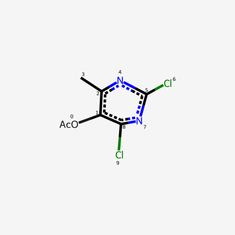 CC(=O)Oc1c(C)nc(Cl)nc1Cl